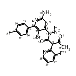 CC(=O)C(C(=O)N(N)c1nc(N)nc(-c2ccc(F)cc2)c1Br)c1ncccc1F